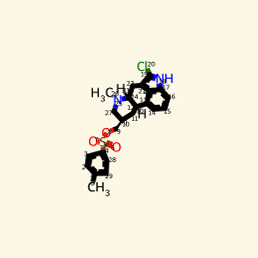 Cc1ccc(S(=O)(=O)OC[C@@H]2C[C@@H]3c4cccc5[nH]c(Cl)c(c45)C[C@H]3N(C)C2)cc1